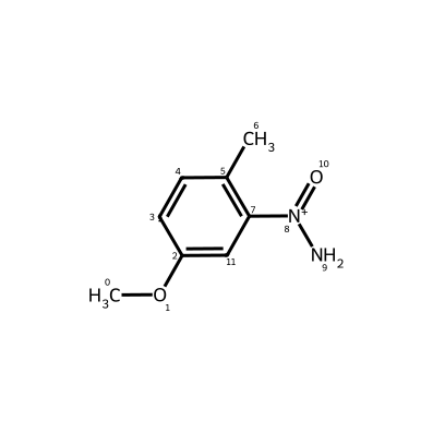 COc1[c]cc(C)c([N+](N)=O)c1